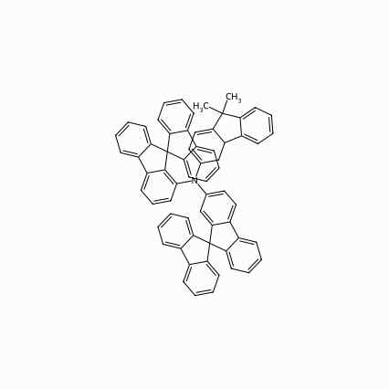 CC1(C)C2=CC=C(N(c3ccc4c(c3)C3(c5ccccc5-c5ccccc53)c3ccccc3-4)c3cccc4c3C3(c5ccccc5-c5ccccc53)c3ccccc3-4)CC2c2ccccc21